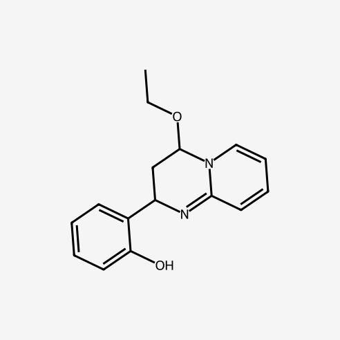 CCOC1CC(c2ccccc2O)N=C2C=CC=CN21